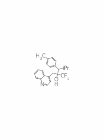 Cc1ccc(C(C(C)C)C(O)(Cc2ccnc3ccccc23)C(F)(F)F)cc1